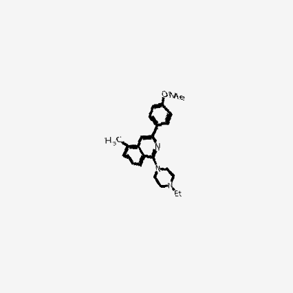 CCN1CCN(c2nc(-c3ccc(OC)cc3)cc3c(C)cccc23)CC1